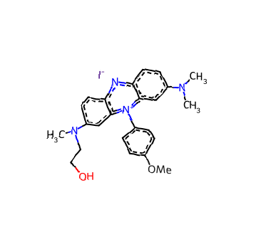 COc1ccc(-[n+]2c3cc(N(C)C)ccc3nc3ccc(N(C)CCO)cc32)cc1.[I-]